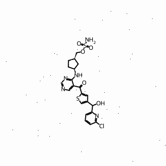 NS(=O)(=O)OC[C@@H]1CC[C@H](Nc2ncncc2C(=O)c2cc(C(O)c3cccc(Cl)n3)cs2)C1